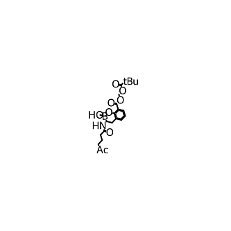 CC(=O)CCCC(=O)N[C@H]1Cc2cccc(C(=O)OCOC(=O)C(C)(C)C)c2OB1O